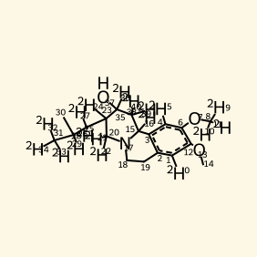 [2H]c1c2c(c([2H])c(OC([2H])([2H])[2H])c1OC)C1([2H])N(CC2)C([2H])([2H])C([2H])(C([2H])([2H])C([2H])(C)C([2H])([2H])[2H])C([2H])(O)C1([2H])[2H]